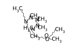 CCCCCCCCN(CCCCCCC)CCN(C)CCN(C)CCN(C)CCN(C)CCCCCCCCC(=O)OC(CC)CCCCCC